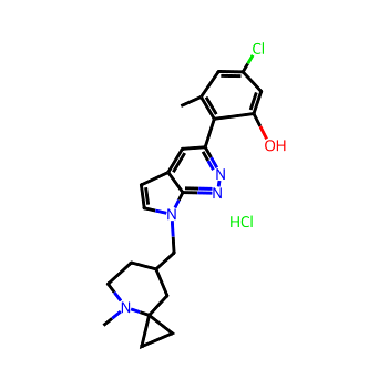 Cc1cc(Cl)cc(O)c1-c1cc2ccn(CC3CCN(C)C4(CC4)C3)c2nn1.Cl